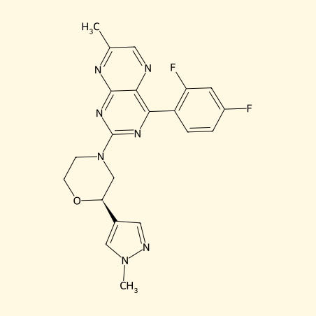 Cc1cnc2c(-c3ccc(F)cc3F)nc(N3CCO[C@H](c4cnn(C)c4)C3)nc2n1